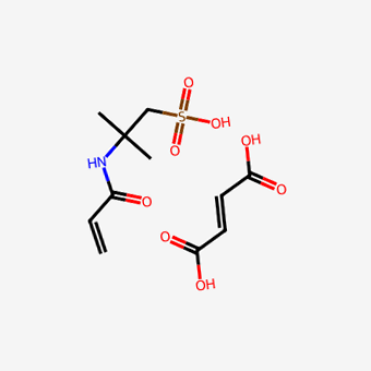 C=CC(=O)NC(C)(C)CS(=O)(=O)O.O=C(O)C=CC(=O)O